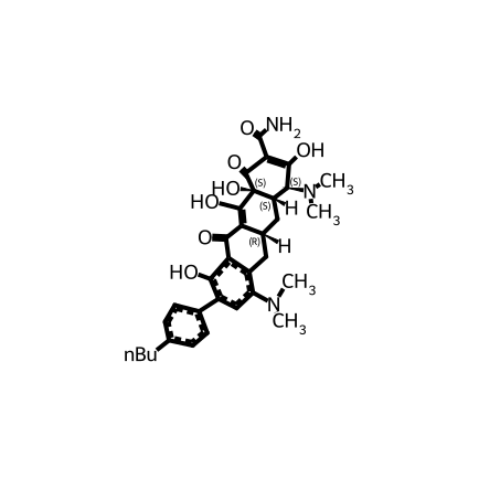 CCCCc1ccc(-c2cc(N(C)C)c3c(c2O)C(=O)C2=C(O)[C@]4(O)C(=O)C(C(N)=O)=C(O)[C@@H](N(C)C)[C@@H]4C[C@@H]2C3)cc1